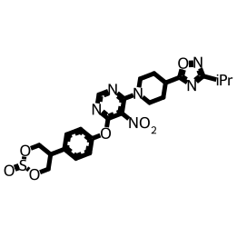 CC(C)c1noc(C2CCN(c3ncnc(Oc4ccc(C5COS(=O)OC5)cc4)c3[N+](=O)[O-])CC2)n1